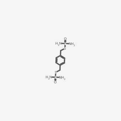 NP(N)(=O)SCc1ccc(CSP(N)(N)=O)cc1